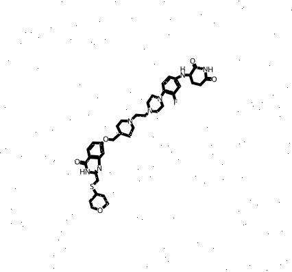 O=C1CCC(Nc2ccc(N3CCN(CCN4CCC(COc5ccc6c(=O)[nH]c(CSC7CCOCC7)nc6c5)CC4)CC3)c(F)c2)C(=O)N1